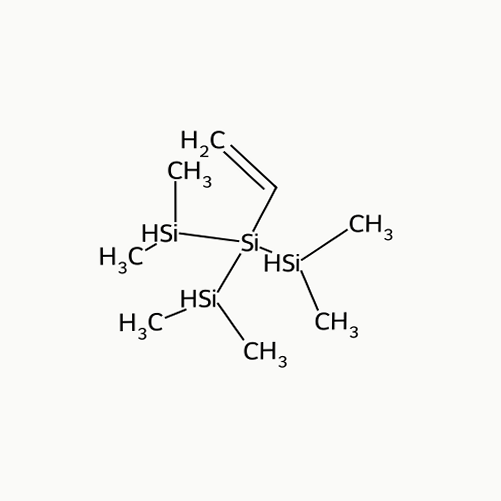 C=C[Si]([SiH](C)C)([SiH](C)C)[SiH](C)C